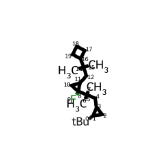 CC(C)(C)C1CC1CC(C)(C)C1(F)CC1CC(C)(C)C1CCC1